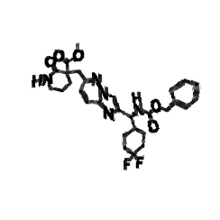 COC(=O)C1(Cc2ccc3nc([C@@H](NC(=O)OCc4ccccc4)C4CCC(F)(F)CC4)cn3n2)CCCNC1=O